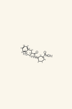 O=C(N[C@@H]1CCC[C@H](C(=O)O)C1)C(CS)Cc1ccccc1